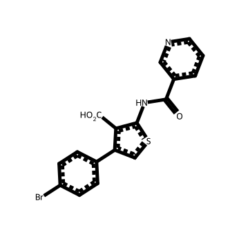 O=C(Nc1scc(-c2ccc(Br)cc2)c1C(=O)O)c1cccnc1